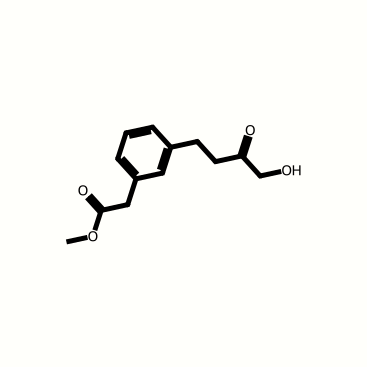 COC(=O)Cc1cccc(CCC(=O)CO)c1